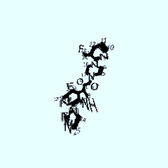 O=C(C(=O)N1CCN(c2ncccc2CF)CC1)C1CNc2c(-n3ccnn3)ncc(F)c21